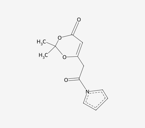 CC1(C)OC(=O)C=C(CC(=O)n2cccc2)O1